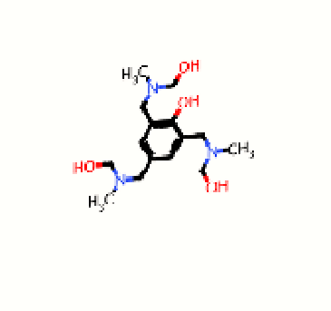 CN(CO)Cc1cc(CN(C)CO)c(O)c(CN(C)CO)c1